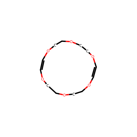 C1=COCCOCCOC=COCCOCCO1